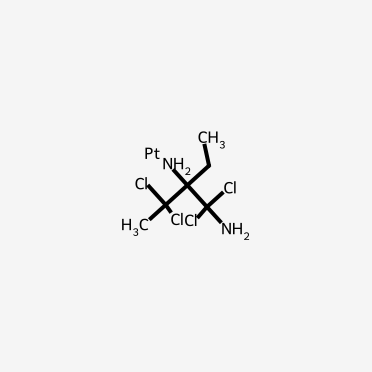 CCC(N)(C(C)(Cl)Cl)C(N)(Cl)Cl.[Pt]